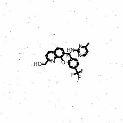 Cc1ccnc(N[C@@H](c2ccc(C(F)(F)F)cc2)c2ccc3ccc(CO)nc3c2O)n1